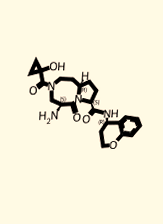 N[C@H]1CN(C(=O)C2(O)CC2)CC[C@H]2CC[C@@H](C(=O)N[C@@H]3CCOc4ccccc43)N2C1=O